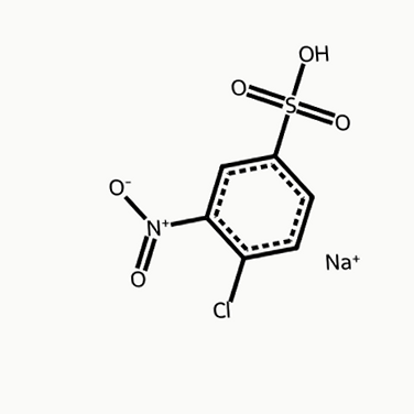 O=[N+]([O-])c1cc(S(=O)(=O)O)ccc1Cl.[Na+]